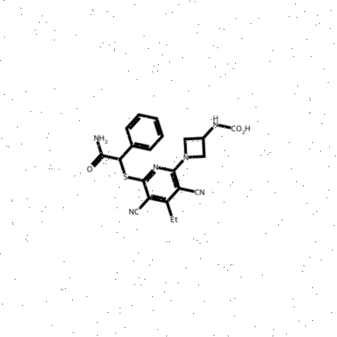 CCc1c(C#N)c(SC(C(N)=O)c2ccccc2)nc(N2CC(NC(=O)O)C2)c1C#N